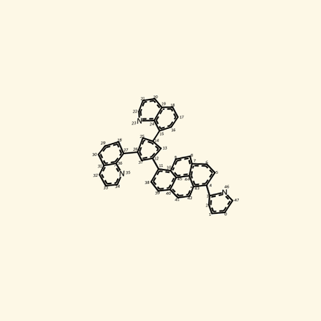 c1ccc(-c2ccc3ccc4c(-c5cc(-c6cccc7cccnc67)cc(-c6cccc7cccnc67)c5)ccc5ccc2c3c54)nc1